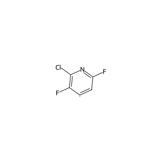 Fc1c[c]c(F)c(Cl)n1